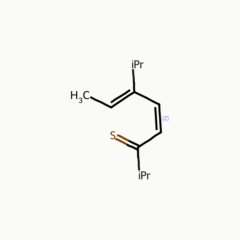 CC=C(/C=C\C(=S)C(C)C)C(C)C